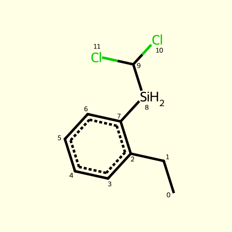 CCc1ccccc1[SiH2]C(Cl)Cl